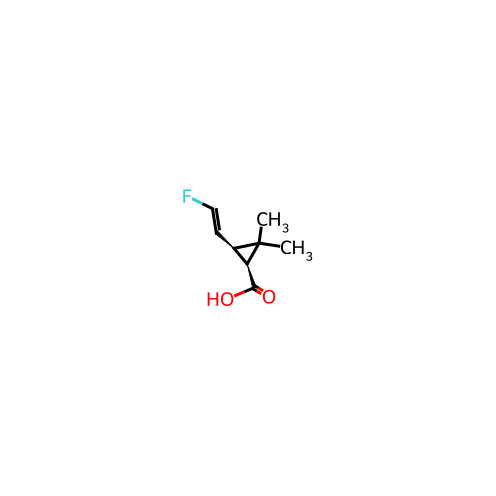 CC1(C)[C@H](C=CF)[C@@H]1C(=O)O